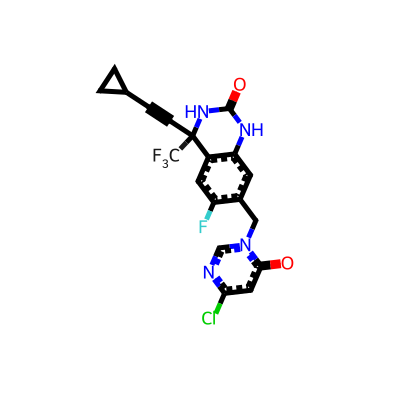 O=C1Nc2cc(Cn3cnc(Cl)cc3=O)c(F)cc2C(C#CC2CC2)(C(F)(F)F)N1